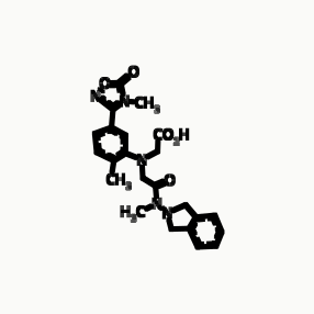 Cc1ccc(-c2noc(=O)n2C)cc1N(CC(=O)O)CC(=O)N(C)N1Cc2ccccc2C1